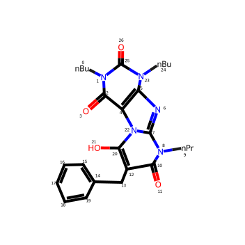 CCCCn1c(=O)c2c(nc3n(CCC)c(=O)c(Cc4ccccc4)c(O)n23)n(CCCC)c1=O